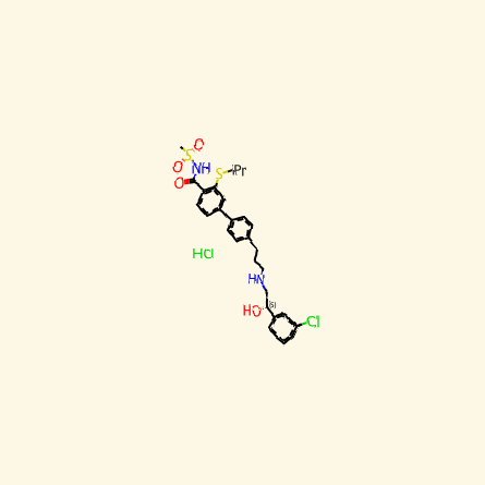 CC(C)Sc1cc(-c2ccc(CCCNC[C@@H](O)c3cccc(Cl)c3)cc2)ccc1C(=O)NS(C)(=O)=O.Cl